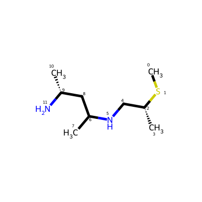 CS[C@H](C)CNC(C)C[C@@H](C)N